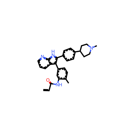 C=CC(=O)Nc1cc(-c2c(-c3ccc(C4CCN(C)CC4)cc3)[nH]c3ncccc23)ccc1C